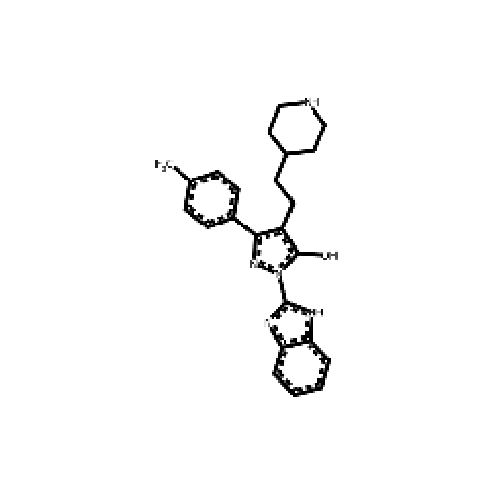 Oc1c(CCC2CCNCC2)c(-c2ccc(C(F)(F)F)cc2)nn1-c1nc2ccccc2[nH]1